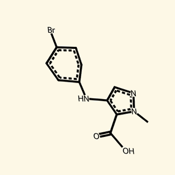 Cn1ncc(Nc2ccc(Br)cc2)c1C(=O)O